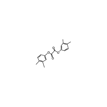 Cc1ccc(OC(=O)C(=O)Oc2ccc(C)c(C)c2)cc1C